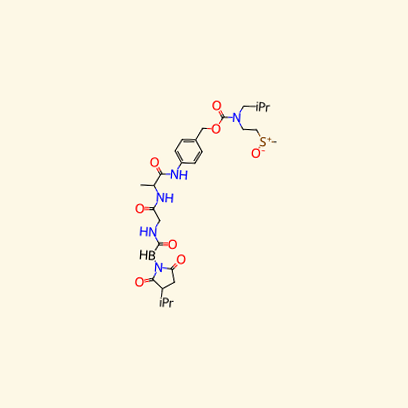 CC(C)CN(CC[S+](C)[O-])C(=O)OCc1ccc(NC(=O)C(C)NC(=O)CNC(=O)BN2C(=O)CC(C(C)C)C2=O)cc1